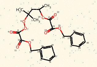 CC(CC(C)(C)OOC(=O)C(=O)OCc1ccccc1)OC(=O)C(=O)OCc1ccccc1